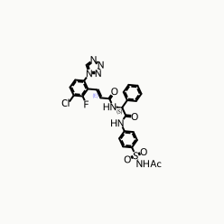 CC(=O)NS(=O)(=O)c1ccc(NC(=O)[C@@H](NC(=O)/C=C/c2c(-n3cnnn3)ccc(Cl)c2F)c2ccccc2)cc1